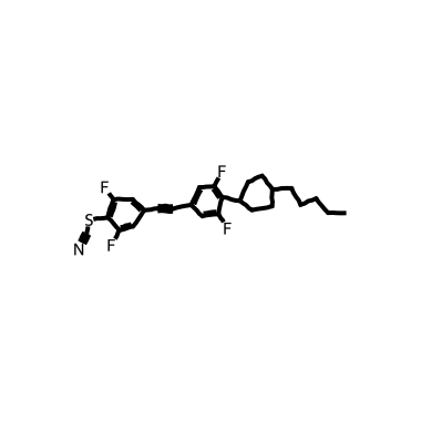 CCCCCC1CCC(c2c(F)cc(C#Cc3cc(F)c(SC#N)c(F)c3)cc2F)CC1